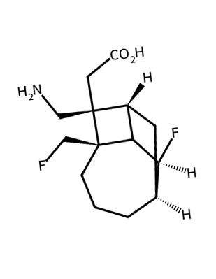 NC[C@@]1(CC(=O)O)[C@@H]2C[C@@H]3CCC[C@@]1(CF)C2[C@H]3F